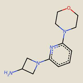 NC1CN(c2cccc(N3CCOCC3)n2)C1